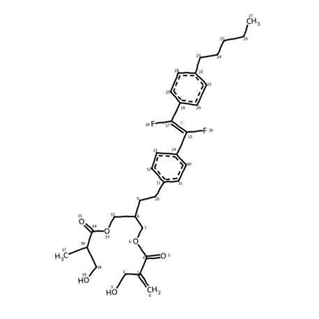 C=C(CO)C(=O)OCC(CCc1ccc(/C(F)=C(\F)c2ccc(CCCCC)cc2)cc1)COC(=O)C(C)CO